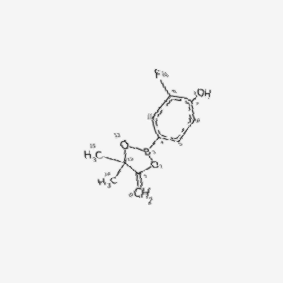 C=C1OB(c2ccc(O)c(F)c2)OC1(C)C